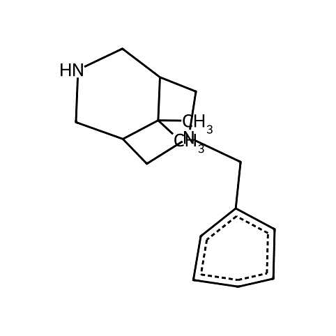 CC1(C)C2CNCC1CN(Cc1ccccc1)C2